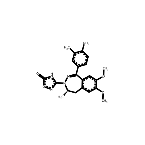 COc1cc2c(cc1OC)C(c1ccc(N)c(C)c1)=NN(c1noc(=O)[nH]1)[C@H](C)C2